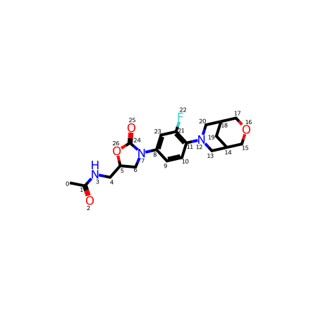 CC(=O)NCC1CN(c2ccc(N3CC4COCC(C4)C3)c(F)c2)C(=O)O1